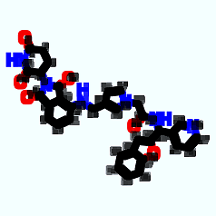 O=C1CCC(N2C(=O)c3cccc(NCc4ccn(CC(=O)NC(c5cccnc5)c5cc6ccccc6o5)c4)c3C2=O)C(=O)N1